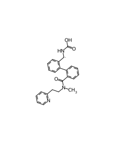 CN(CCc1ccccn1)C(=O)c1ccccc1-c1ccccc1[CH]NC(=O)O